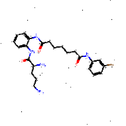 NCCC[C@H](N)C(=O)Nc1ccccc1NC(=O)CCCCCC(=O)Nc1cccc(Br)c1